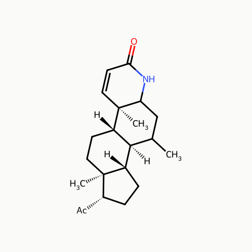 CC(=O)[C@H]1CC[C@H]2[C@@H]3C(C)CC4NC(=O)C=C[C@]4(C)[C@H]3CC[C@]12C